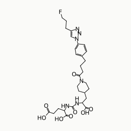 O=C(O)CCC(NC(=O)NC(CC1CCN(C(=O)CCCc2ccc(-n3cc(CCCF)nn3)cc2)CC1)C(=O)O)C(=O)O